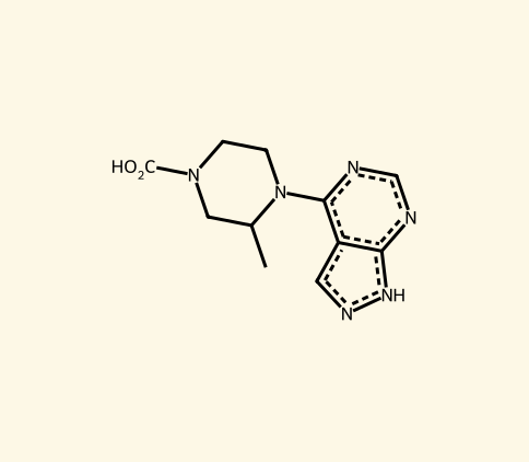 CC1CN(C(=O)O)CCN1c1ncnc2[nH]ncc12